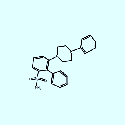 NS(=O)(=O)c1cccc(N2CCN(c3ccccc3)CC2)c1-c1ccccc1